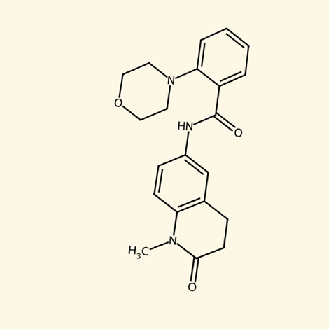 CN1C(=O)CCc2cc(NC(=O)c3ccccc3N3CCOCC3)ccc21